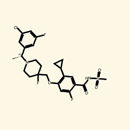 C[C@H](c1cc(F)cc(Cl)c1)N1CCC(F)(COc2cc(F)c(C(=O)NS(C)(=O)=O)cc2C2CC2)CC1